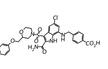 NC(=O)c1[nH]c2c(NCc3ccc(C(=O)O)cc3)cc(Cl)cc2c1S(=O)(=O)N1CCOC(COc2ccccc2)C1